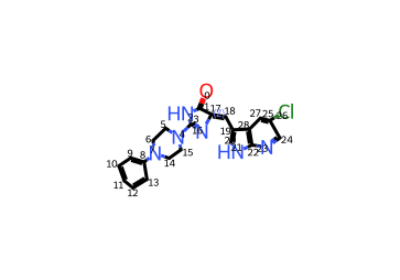 O=C1NC(N2CCN(c3ccccc3)CC2)=N/C1=C\c1c[nH]c2ncc(Cl)cc12